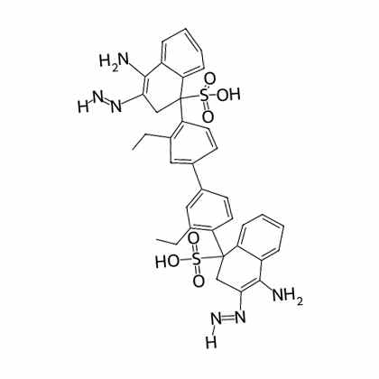 [H]/N=N/C1=C(N)c2ccccc2C(c2ccc(-c3ccc(C4(S(=O)(=O)O)CC(/N=N/[H])=C(N)c5ccccc54)c(CC)c3)cc2CC)(S(=O)(=O)O)C1